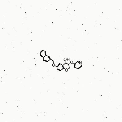 O[C@H]1c2cc(OCc3ccc4ccccc4c3)ccc2OC[C@H]1Oc1cccnc1